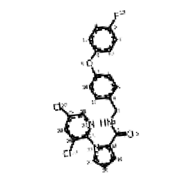 O=C(NCc1ccc(Oc2ccc(F)cc2)cc1)c1cccn1-c1ncc(Cl)cc1Cl